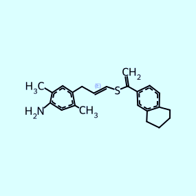 C=C(S/C=C/Cc1cc(C)c(N)cc1C)c1ccc2c(c1)CCCC2